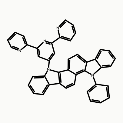 c1ccc(-n2c3ccccc3c3ccc4c(ccc5c6ccccc6n(-c6cc(-c7ccccn7)nc(-c7ccccn7)c6)c54)c32)cc1